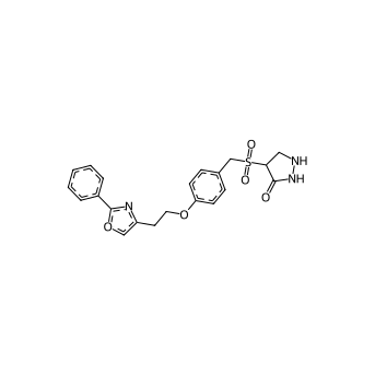 O=C1NNCC1S(=O)(=O)Cc1ccc(OCCc2coc(-c3ccccc3)n2)cc1